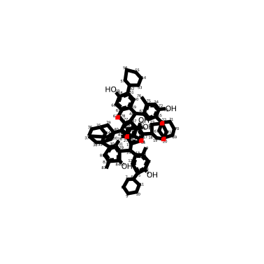 Cc1cc(O)c(C2CCCCC2)cc1C(c1cc(C2CCCCC2)c(O)cc1C)c1c(C)c(C23CC4CC(C2)CC(c2cc(C)c(O)c(C(c5cc(C6CCCCC6)c(O)cc5C)c5cc(C6CCCCC6)c(O)cc5C)c2C)(C4)C3)cc(C)c1O